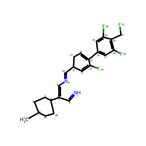 CC1CCC(/C(C=N)=C/N=C/C2C=C(F)C(c3cc(F)c(CF)c(F)c3)=CC2)CC1